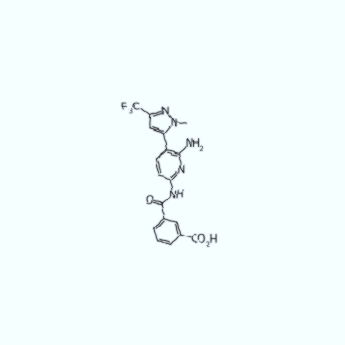 Cn1nc(C(F)(F)F)cc1-c1ccc(NC(=O)c2cccc(C(=O)O)c2)nc1N